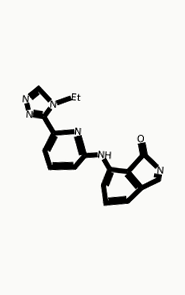 CCn1cnnc1-c1cccc(Nc2cccc3c2C(=O)N=C3)n1